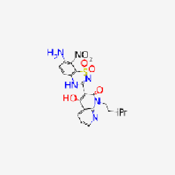 CC(C)CCn1c(=O)c(C2=NS(=O)(=O)c3c(ccc(N)c3[N+](=O)[O-])N2)c(O)c2cccnc21